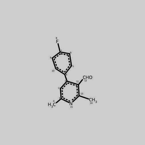 Cc1cc(-c2ccc(F)cc2)c(C=O)c(C)n1